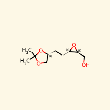 CC1(C)OC[C@@H](CC[C@@H]2O[C@H]2CO)O1